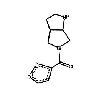 O=C(c1ccon1)N1CC2CCNC2C1